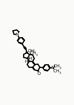 CN(C)c1ccc(C2CC3=C4CC[C@@]5(C)[C@@H](CC[C@]5(O)C#Cc5ccc(N6CCCC6)cc5)[C@@H]4CCC3=CC2=O)cc1